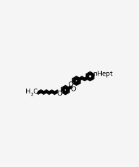 C=CCCCCCCCOc1ccc(C(=O)Oc2ccc(CCC3CCC(CCCCCCC)CC3)cc2)cc1